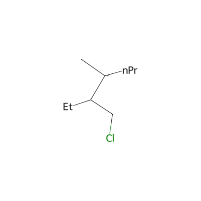 CCC[C](C)C(CC)CCl